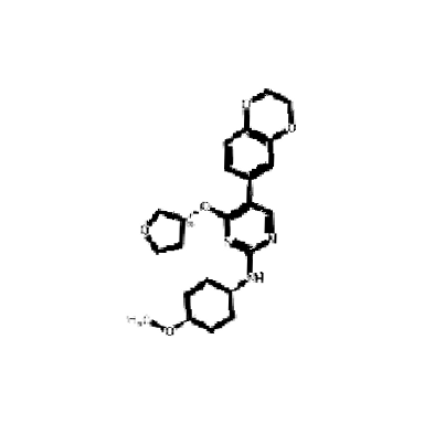 CO[C@H]1CC[C@@H](Nc2ncc(-c3ccc4c(c3)OCCO4)c(O[C@@H]3CCOC3)n2)CC1